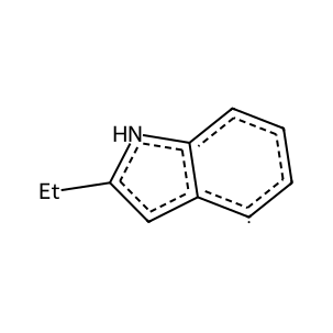 CCc1cc2[c]cccc2[nH]1